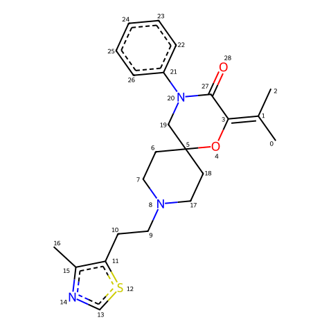 CC(C)=C1OC2(CCN(CCc3scnc3C)CC2)CN(c2ccccc2)C1=O